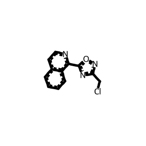 ClCc1noc(-c2nccc3ccccc23)n1